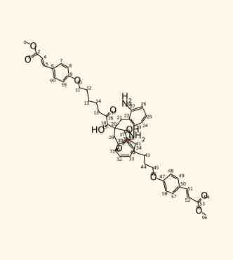 COC(=O)/C=C/c1ccc(OCCCCCC(=O)C(O)C(Cc2ccccc2N)(Cc2ccccc2N)C(O)C(=O)CCCCCOc2ccc(/C=C/C(=O)OC)cc2)cc1